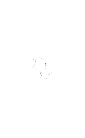 C1=NC2=CCN=NC2=N1